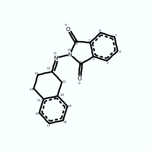 O=C1c2ccccc2C(=O)N1N=C1CCc2ccccc2C1